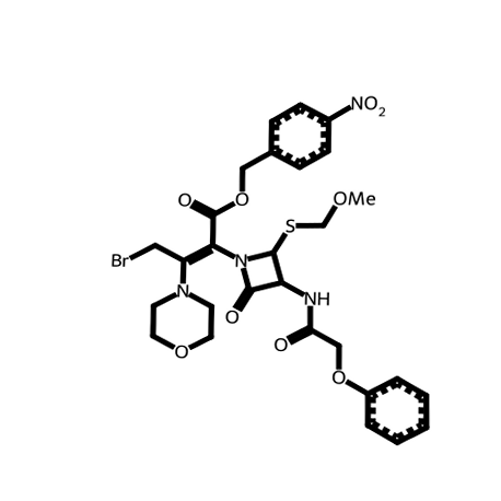 COCSC1C(NC(=O)COc2ccccc2)C(=O)N1C(C(=O)OCc1ccc([N+](=O)[O-])cc1)=C(CBr)N1CCOCC1